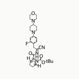 CC(C)(C)OC(=O)N1[C@@H]2CC[C@@H](C2)[C@H]1C(=O)N[C@H](C#N)Cc1ccc(N2CCC(N3CCOCC3)CC2)cc1F